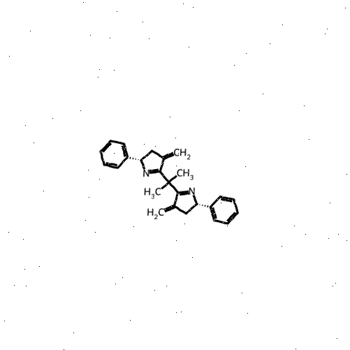 C=C1C[C@@H](c2ccccc2)N=C1C(C)(C)C1=N[C@H](c2ccccc2)CC1=C